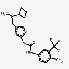 Cc1ccc(NC(=O)Nc2nc(CN(C)C3CCC3)cs2)cc1C(F)(F)F